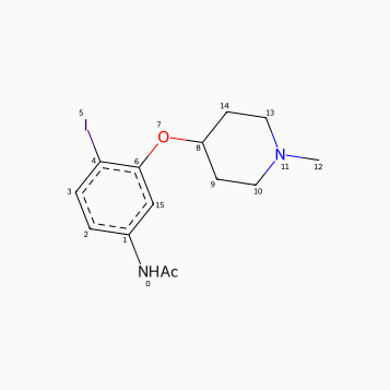 CC(=O)Nc1ccc(I)c(OC2CCN(C)CC2)c1